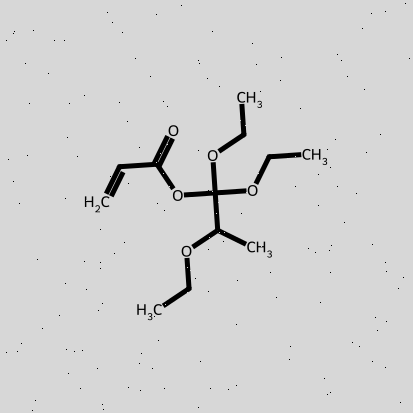 C=CC(=O)OC(OCC)(OCC)C(C)OCC